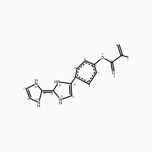 C=C(C)C(=O)Oc1ccc(C2=CNC(=C3NC=CN3)N2)cc1